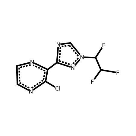 FC(F)C(F)n1cnc(-c2nccnc2Cl)n1